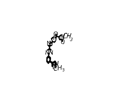 CN1CC(C(=O)N2CCC(n3cc(-c4cnc(-c5cccc(-c6cnn(C)c6)c5)nc4)cn3)CC2)CC1=O